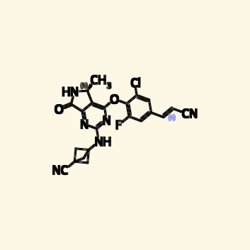 C[C@@H]1NC(=O)c2nc(NC34CC(C#N)(C3)C4)nc(Oc3c(F)cc(/C=C/C#N)cc3Cl)c21